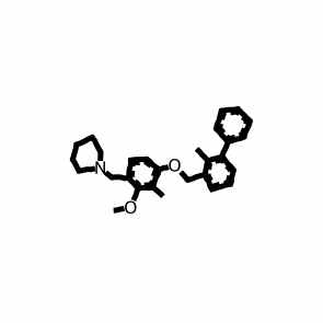 COc1c(CN2CCCCC2)ccc(OCc2cccc(-c3ccccc3)c2C)c1C